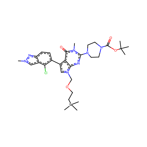 Cn1cc2c(Cl)c(-c3cn(COCC[Si](C)(C)C)c4nc(N5CCN(C(=O)OC(C)(C)C)CC5)n(C)c(=O)c34)ccc2n1